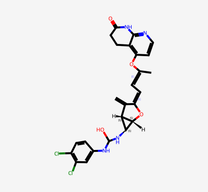 C=C1/C(=C\C=C(/C)Oc2ccnc3c2CCC(=O)N3)O[C@@H]2[C@@H](NC(O)Nc3ccc(Cl)c(Cl)c3)[C@H]12